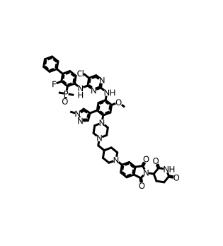 COc1cc(N2CCN(CC3CCN(c4ccc5c(c4)C(=O)N(C4CCC(=O)NC4=O)C5=O)CC3)CC2)c(-c2cnn(C)c2)cc1Nc1ncc(Cl)c(Nc2ccc(-c3ccccc3)c(F)c2P(C)(C)=O)n1